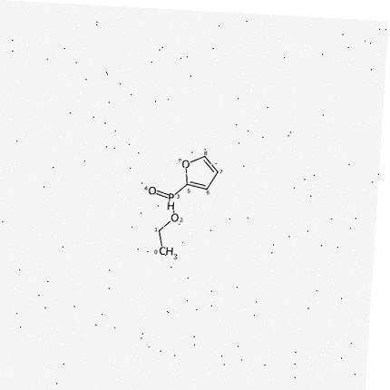 CCO[PH](=O)c1ccco1